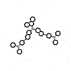 c1ccc(N(c2ccccc2)c2ccc(-c3ccc4cc(N(c5ccc6cc(-c7ccc(N(c8ccccc8)c8ccccc8)cc7)ccc6c5)c5cc6ccccc6c6ccccc56)ccc4c3)cc2)cc1